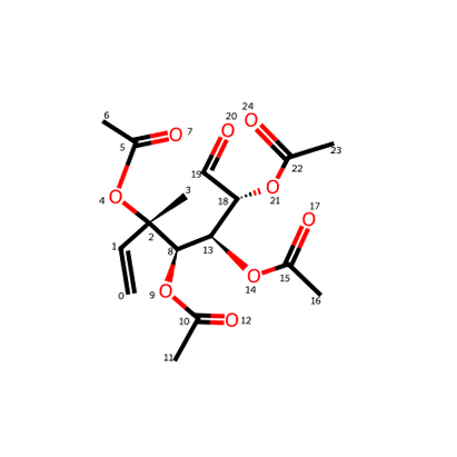 C=C[C@](C)(OC(C)=O)[C@H](OC(C)=O)[C@H](OC(C)=O)[C@H](C=O)OC(C)=O